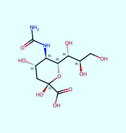 NC(=O)N[C@H]1[C@H]([C@H](O)[C@H](O)CO)O[C@](O)(C(=O)O)C[C@@H]1O